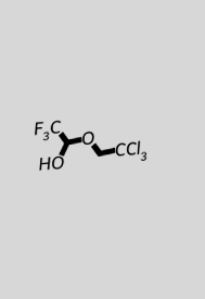 OC(OCC(Cl)(Cl)Cl)C(F)(F)F